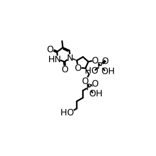 Cc1cn([C@H]2CC(OP(=O)(O)O)[C@@H](COP(=O)(O)CCCCO)O2)c(=O)[nH]c1=O